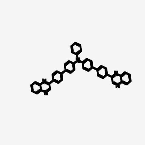 c1ccc(N(c2ccc(-c3ccc(-c4cnc5ccccc5n4)cc3)cc2)c2ccc(-c3ccc(-c4cnc5ccccc5n4)cc3)cc2)cc1